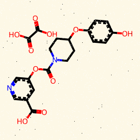 O=C(O)C(=O)O.O=C(O)c1cncc(OC(=O)N2CCC(Oc3ccc(O)cc3)CC2)c1